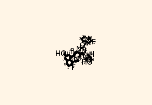 C#Cc1c(F)ccc2cc(O)cc(-c3ncc4c(N5C[C@H]6CO[C@H](C6)C5)nc(OC[C@@]56CCCN5C[C@H](F)C6)nc4c3F)c12